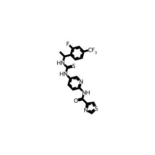 CC(NC(=S)Nc1ccc(NC(=O)c2cscn2)nc1)c1ccc(C(F)(F)F)cc1F